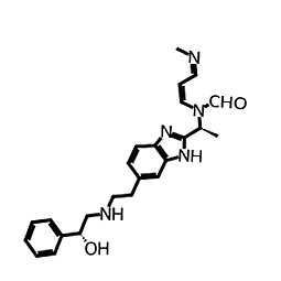 C/N=C\C=C/N(C=O)[C@@H](C)c1nc2ccc(CCNC[C@H](O)c3ccccc3)cc2[nH]1